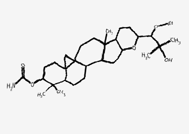 CCOC(C1CCC2C(CC3C4CCC5C(C)(C)C(OC(N)=O)CCC56CC46CCC23C)O1)C(C)(C)O